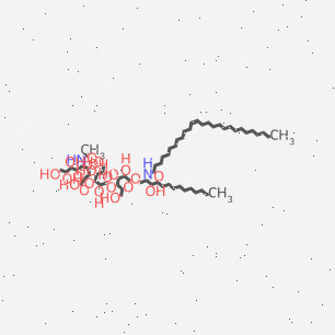 CCCCCCCCCCCCCC/C=C\CCCCCCCCCCC(=O)NC(COC1OC(CO)C(OC2OC(CO)C(O)C(OC3(C(=O)O)CC(O)C(NC(C)=O)C(C(O)C(O)CO)O3)C2O)C(O)C1O)C(O)CCCCCCCCCCC